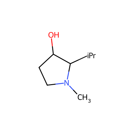 CC(C)C1C(O)CCN1C